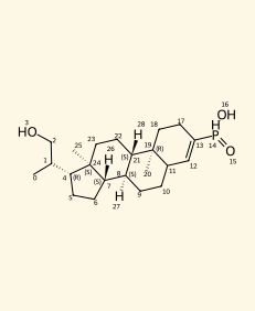 CC(CO)[C@H]1CC[C@H]2[C@@H]3CCC4C=C([PH](=O)O)CC[C@]4(C)[C@H]3CC[C@]12C